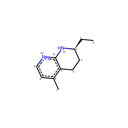 CC[C@H]1CCc2c(C)ccnc2N1